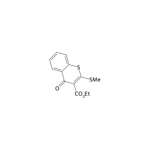 CCOC(=O)c1c(SC)sc2ccccc2c1=O